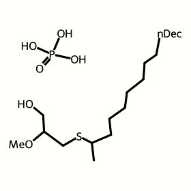 CCCCCCCCCCCCCCCCCC(C)SCC(CO)OC.O=P(O)(O)O